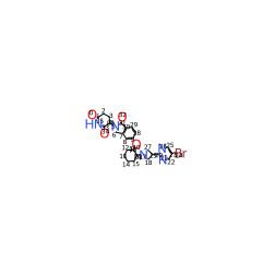 O=C1CC[C@@H](N2Cc3cc(O[C@@H]4CCCC[C@@H]4N4CC(c5ncc(Br)cn5)C4)ccc3C2=O)C(=O)N1